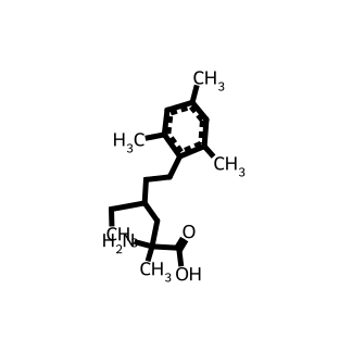 CCC(CCc1c(C)cc(C)cc1C)CC(C)(N)C(=O)O